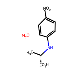 C[C@H](Nc1ccc([N+](=O)[O-])cc1)C(=O)O.O